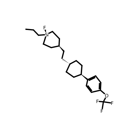 CCC[Si@]1(F)CC[C@@H](CC[C@H]2CC[C@H](c3ccc(OC(F)(F)F)cc3)CC2)CC1